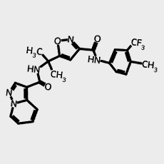 Cc1ccc(NC(=O)c2cc(C(C)(C)NC(=O)c3cnn4ccccc34)on2)cc1C(F)(F)F